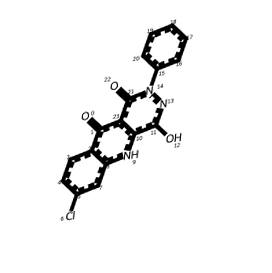 O=c1c2ccc(Cl)cc2[nH]c2c(O)nn(-c3ccccc3)c(=O)c12